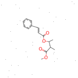 COC(=O)C(C)C(C)OC(=O)C=Cc1ccccc1